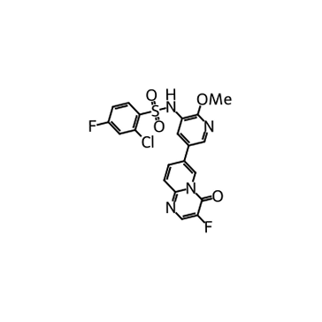 COc1ncc(-c2ccc3ncc(F)c(=O)n3c2)cc1NS(=O)(=O)c1ccc(F)cc1Cl